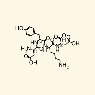 NCCCC[C@H](NC(=O)[C@H](Cc1ccc(O)cc1)NC(=O)[C@@H](N)CC(=O)O)C(=O)N[C@@H](CC(=O)O)C(=O)O